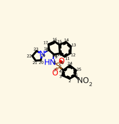 O=[N+]([O-])c1ccc(S(=O)(=O)N[C@@H]2c3ccccc3C=C[C@@H]2N2CCCC2)cc1